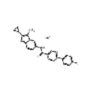 Cc1c(C2CC2)nc2ccc(NC(=O)c3ccc(-c4ccc(F)cc4)nc3)cn12.Cl